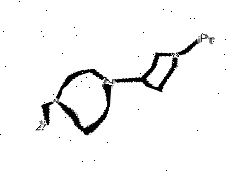 CCN1CCN(C2CN(C(C)C)C2)CC1